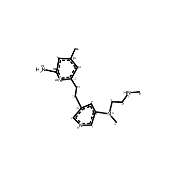 CNCCN(C)c1cncc(CCc2cc(C)cc(N)n2)c1